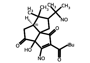 CCC(C)C(=O)C1=C(N=O)C2(O)C(=O)C[C@H]3C(C)(C)C(C(C)(C)N=O)CC32C1=O